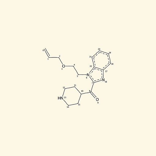 C=CCOCCn1c(C(=O)C2CCNCC2)nc2ccccc21